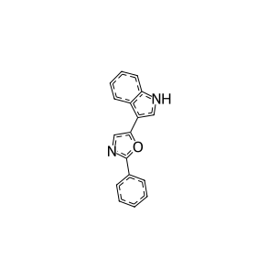 c1ccc(-c2ncc(-c3c[nH]c4ccccc34)o2)cc1